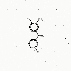 Cc1cc(C(=O)c2cccc(Cl)c2)ccc1O